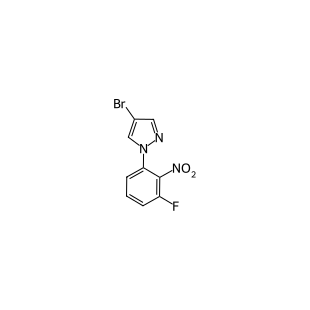 O=[N+]([O-])c1c(F)cccc1-n1cc(Br)cn1